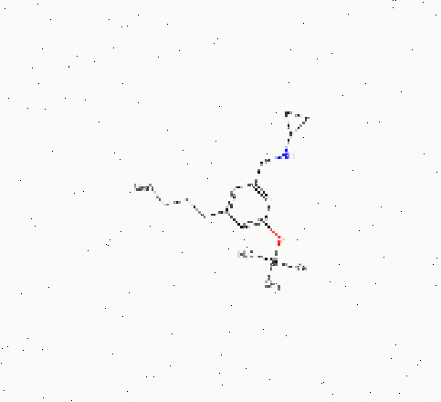 COCCCc1cc(CNC2CC2)cc(O[Si](C)(C)C(C)(C)C)c1